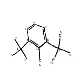 CC(C)(C)c1cccc(C(C)(F)F)c1F